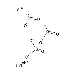 Cl.O=[Si]([O-])[O-].O=[Si]([O-])[O-].O=[Si]([O-])[O-].[Al+3].[Al+3]